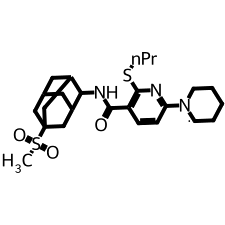 CCCSc1nc(N2[CH]CCCC2)ccc1C(=O)NC1C2CC3CC1CC(S(C)(=O)=O)(C3)C2